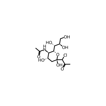 CC(=O)N[C@H]1[C@H]([C@H](O)[C@H](O)CO)O[C@](O)(C(Cl)C(C)=O)C[C@@H]1O